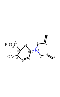 C=CCN(CC=C)[C@@H]1C=CC(N=O)C(C(=O)OCC)C1